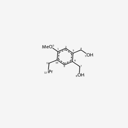 COc1cc(CO)c(CO)cc1CC(C)C